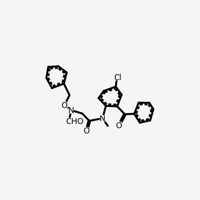 CN(C(=O)CN(C=O)OCc1ccccc1)c1ccc(Cl)cc1C(=O)c1ccccc1